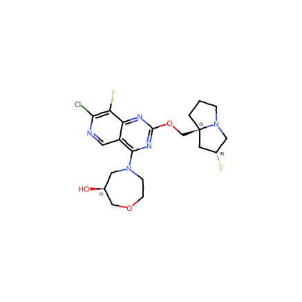 O[C@@H]1COCCN(c2nc(OC[C@@]34CCCN3C[C@H](F)C4)nc3c(F)c(Cl)ncc23)C1